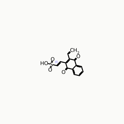 C=CC1=C(/C=C/S(=O)(=O)O)C(=O)c2ccccc2C1=O